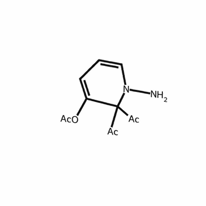 CC(=O)OC1=CC=CN(N)C1(C(C)=O)C(C)=O